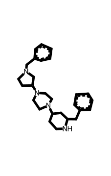 c1ccc(CC2CC(N3CCN(C4CCN(Cc5ccccc5)C4)CC3)CCN2)cc1